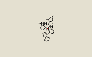 Cc1cc(C)c(C(Nc2c(C(C)C)cccc2C(C)C)c2nc3c(-c4cccc5ccccc45)cccc3n2C)c(C)c1